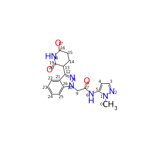 Cn1nccc1NC(=O)Cn1nc(C2CCC(=O)NC2=O)c2ccccc21